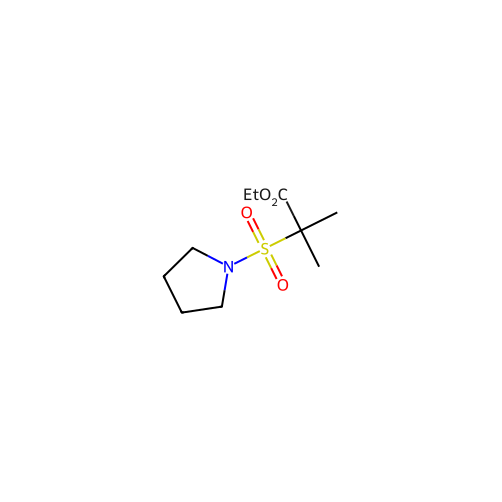 CCOC(=O)C(C)(C)S(=O)(=O)N1CCCC1